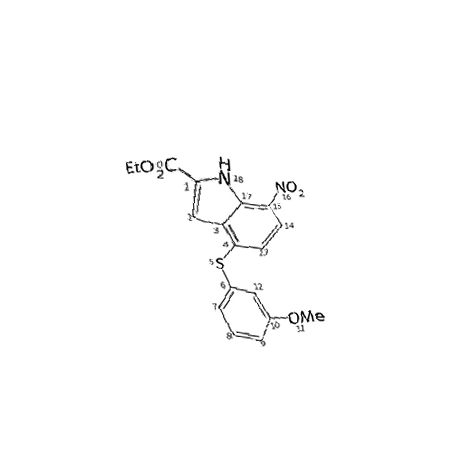 CCOC(=O)c1cc2c(Sc3cccc(OC)c3)ccc([N+](=O)[O-])c2[nH]1